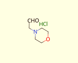 Cl.O=CCN1CCOCC1